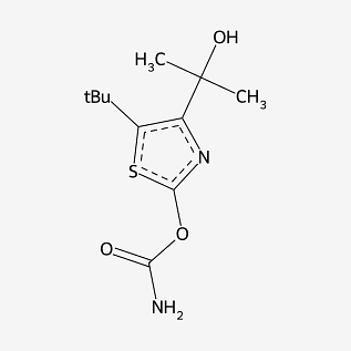 CC(C)(C)c1sc(OC(N)=O)nc1C(C)(C)O